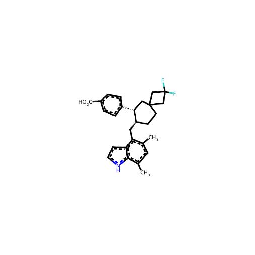 Cc1cc(C)c2[nH]ccc2c1C[C@@H]1CCC2(C[C@H]1c1ccc(C(=O)O)cc1)CC(F)(F)C2